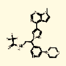 N#CCC(c1cncc(N2CCOCC2)c1)n1cc(-c2ncnc3[nH]ccc23)cn1.O=C(O)C(F)(F)F